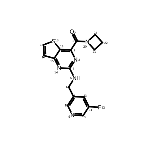 O=C(c1nc(NCc2cncc(F)c2)nc2ccsc12)N1CCC1